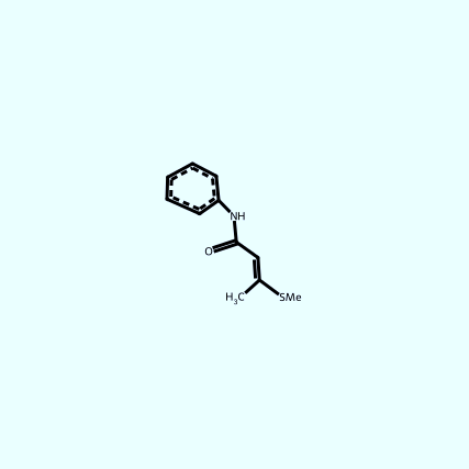 CSC(C)=CC(=O)Nc1ccccc1